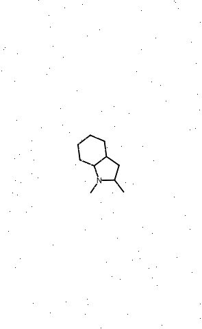 CC1CC2CCCCC2N1C